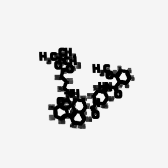 COc1ccccc1C(=O)NC1CCN(C(=O)[C@H]2CC[C@@](C(=O)NCCCC(=O)OC(C)(C)C)(c3ccccc3)c3ccccc32)CC1